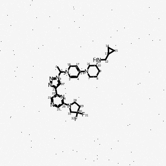 CC(N1C=CC(N2CCC[C@@H](NCC3CC3)C2)=CC1)n1cc(-c2cncc(N3CCC(F)(F)C3)n2)nn1